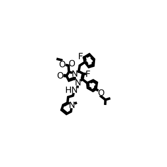 CCOC(=O)C1C(=O)C=C2N(CNCCC3=CC=CCN3C)C(c3ccc(OCC(C)C)cc3)=C(F)C(Cc3ccccc3F)N21